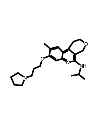 Cc1cc2c3c(c(NC(C)C)nc2cc1OCCCN1CCCC1)COCC3